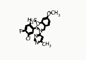 COc1ccc(CN(Sc2cc(Cl)c(F)cc2F)c2cc(C)ncn2)c(OC)c1